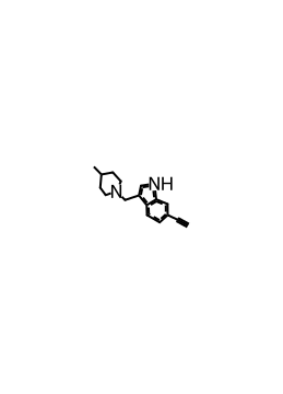 C#Cc1ccc2c(CN3CCC(C)CC3)c[nH]c2c1